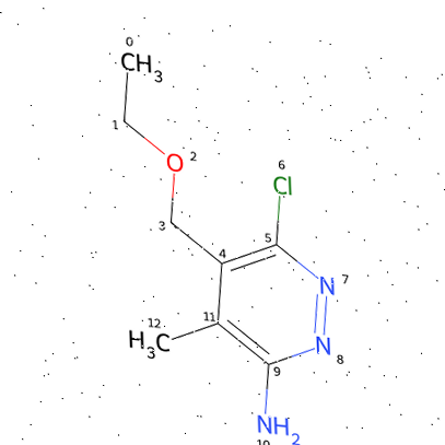 CCOCc1c(Cl)nnc(N)c1C